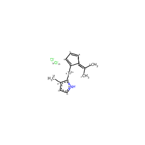 CC(C)=C1C=CC=[C]1[Ti+2][c]1[nH]ccc1C.[Cl-].[Cl-]